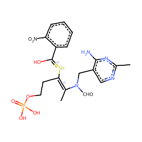 C/C(=C(CCOP(=O)(O)O)/[SH]=C(\O)c1ccccc1[N+](=O)[O-])N(C=O)Cc1cnc(C)nc1N